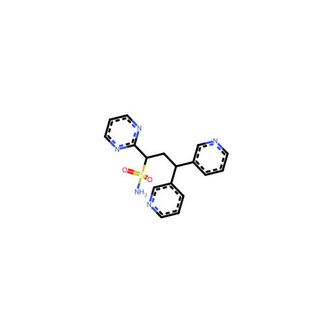 NS(=O)(=O)C(CC(c1cccnc1)c1cccnc1)c1ncccn1